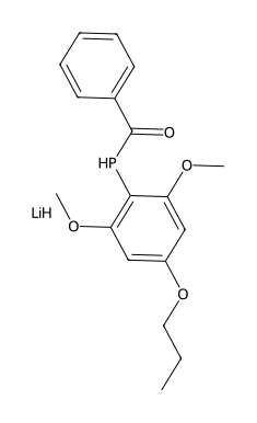 CCCOc1cc(OC)c(PC(=O)c2ccccc2)c(OC)c1.[LiH]